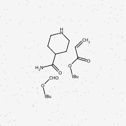 C=CC(=O)OC(C)(C)C.CC(C)(C)OC=O.NC(=O)C1CCNCC1